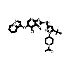 CC(=O)N1CCC(n2nc(Nc3nc4ncc(Oc5cnn6ccccc56)c(Cl)c4n3C)cc2C(F)(F)F)CC1